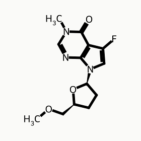 COC[C@@H]1CC[C@H](n2cc(F)c3c(=O)n(C)cnc32)O1